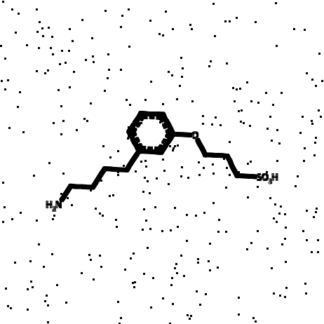 NCCCCc1cccc(OCCCS(=O)(=O)O)c1